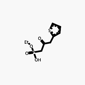 CCOP(=O)(O)CC(=O)Cc1cccs1